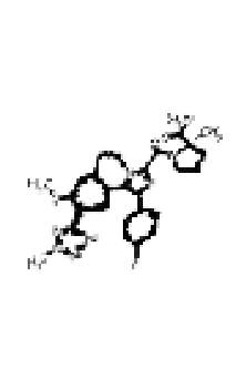 COc1cc2c(cc1-c1nnn(C)n1)-c1c(-c3ccc(F)cc3)nc(C(=O)N3CCC[C@]3(C)C(N)=O)n1CC2